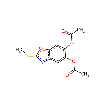 CSc1nc2cc(OC(C)=O)c(OC(C)=O)cc2o1